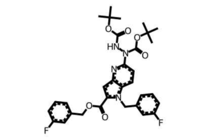 CC(C)(C)OC(=O)NN(C(=O)OC(C)(C)C)c1ccc2c(cc(C(=O)OCc3cccc(F)c3)n2Cc2cccc(F)c2)n1